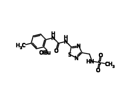 Cc1ccc(NC(=O)Nc2nc(CNS(C)(=O)=O)ns2)c(OCC(C)C)c1